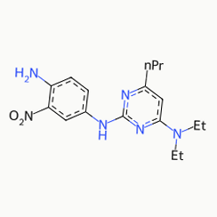 CCCc1cc(N(CC)CC)nc(Nc2ccc(N)c([N+](=O)[O-])c2)n1